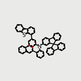 c1cc(-c2cccc3c2sc2ccccc23)cc(N(c2ccc3c(c2)C2(c4ccccc4-c4ccccc42)c2ccccc2-3)c2ccccc2-c2ccc3ccccc3c2)c1